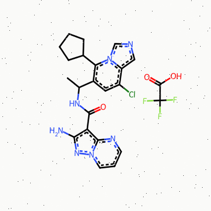 CC(NC(=O)c1c(N)nn2cccnc12)c1cc(Cl)c2cncn2c1C1CCCC1.O=C(O)C(F)(F)F